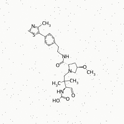 CO[C@@H]1C[C@@H](C(=O)NCCc2ccc(-c3scnc3C)cc2)N(CC(C)(C)[C@@H](C=O)NC(=O)O)C1